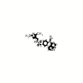 Cc1nn(C)cc1CNS(=O)(=O)C[C@H]1CC[C@H](N(C)c2ncnc3[nH]ccc23)CC1